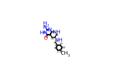 Cc1ccc(CNC2CNc3nc(N)[nH]c(=O)c3C2)cc1